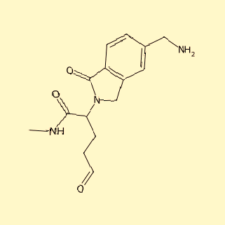 CNC(=O)C(CCC=O)N1Cc2cc(CN)ccc2C1=O